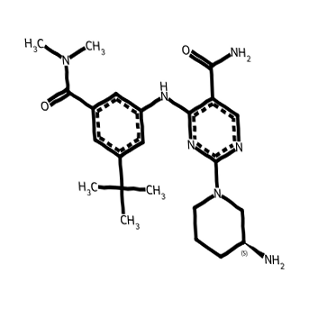 CN(C)C(=O)c1cc(Nc2nc(N3CCC[C@H](N)C3)ncc2C(N)=O)cc(C(C)(C)C)c1